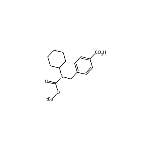 CC(C)(C)OC(=O)N(Cc1ccc(C(=O)O)cc1)C1CCCCC1